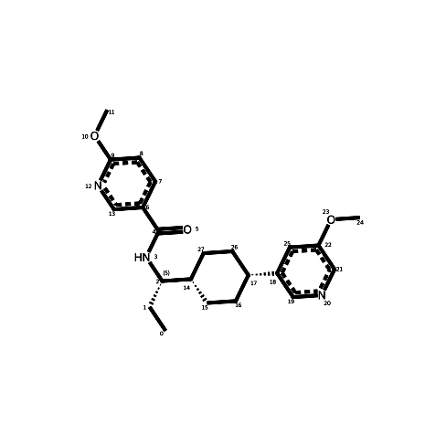 CC[C@H](NC(=O)c1ccc(OC)nc1)[C@H]1CC[C@@H](c2cncc(OC)c2)CC1